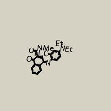 CCN(CC)c1ccc(N=C2C=C(C(=O)NC)C(=O)c3ccccc32)c(C)c1